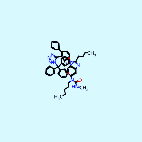 CCCCCN(C(=O)NC)c1ccc2c(c1)nc(CCCC)n2-c1ccc(-c2ccccc2)c(-c2nnnn2C(c2ccccc2)(c2ccccc2)c2ccccc2)c1C